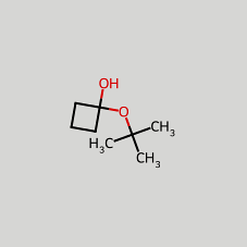 CC(C)(C)OC1(O)CCC1